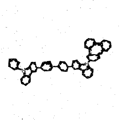 c1ccc(-n2c3ccccc3c3cc(-c4ccc(-c5ccc(-c6ccc7c(c6)c6ccccc6n7-c6ccc7c8ccccc8c8ccccc8c7c6)cc5)cc4)ccc32)cc1